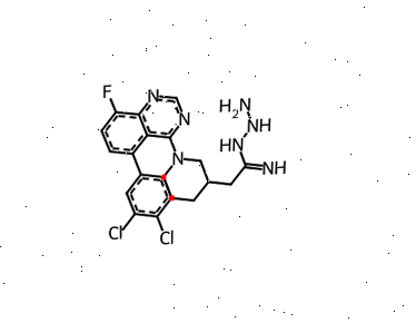 N=C(CC1CCCN(c2ncnc3c(F)ccc(-c4ccc(Cl)c(Cl)c4)c23)C1)NNN